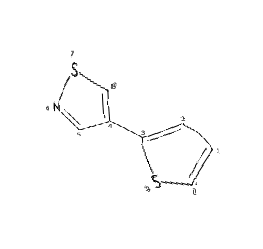 [c]1ccc(-c2cnsc2)s1